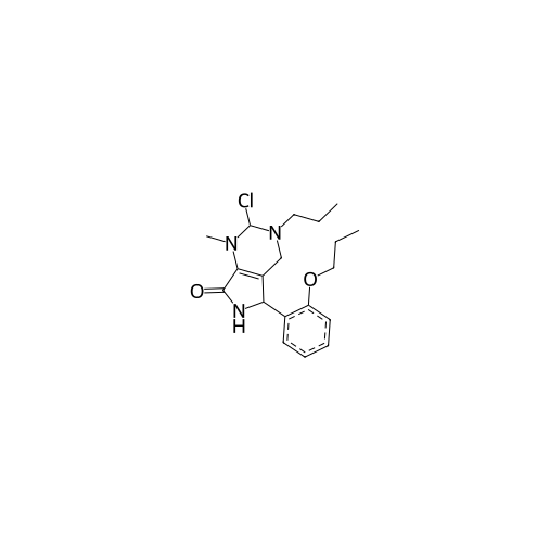 CCCOc1ccccc1C1NC(=O)C2=C1CN(CCC)C(Cl)N2C